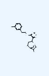 Cc1cccc(CCOc2nsnc2C2CCC3CN2CC3O)c1